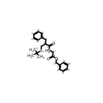 CC(C)(C)SCC(Cc1ccccc1)C(=O)NCC(=O)OCc1ccccc1